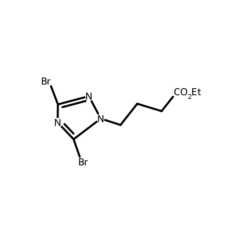 CCOC(=O)CCCn1nc(Br)nc1Br